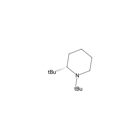 CC(C)(C)[C@@H]1CCCCN1C(C)(C)C